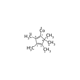 CC1=C(C)C(C)(C)[C]([Co])=C1C